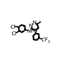 Cc1cc(-c2cccc(C(F)(F)F)c2)c(Nc2ccc(Cl)c(Cl)c2)nn1